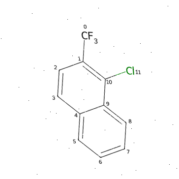 FC(F)(F)c1ccc2ccccc2c1Cl